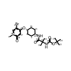 Cn1cc(Br)c(O[C@H]2CC[C@H](NC(=O)C(C)(C)NC(=O)OC(C)(C)C)CC2)cc1=O